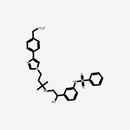 CC(C)(CCn1cnc(-c2ccc(CC(=O)O)cc2)c1)NCC(O)c1cccc(NS(=O)(=O)c2ccccc2)c1